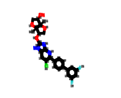 O[C@@H]1CO[C@H]2[C@@H]1OC[C@H]2Oc1nc2nc(-c3ccc(-c4cc(F)cc(F)c4)cc3)c(Cl)cc2[nH]1